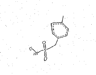 Cc1ccc(CS(=O)(=O)NCl)cc1